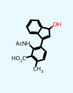 CC(=O)Nc1c(C2=CC(O)c3ccccc32)ccc(C)c1C(=O)O